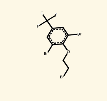 FC(F)(F)c1cc(Br)c(OCCBr)c(Br)c1